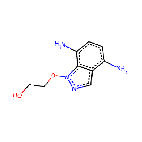 Nc1ccc(N)c2c1cnn2OCCO